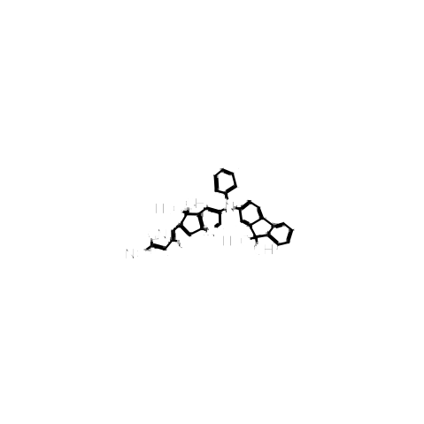 CC1(C)c2ccccc2-c2ccc(N(c3ccccc3)c3cnc4c(c3)C(C)(C)c3cc(C=C(C#N)C#N)oc3-4)cc21